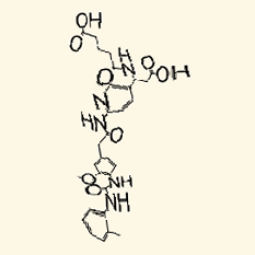 COc1cc(CC(=O)Nc2ccc(C(CC(=O)O)NC(=O)CCCC(=O)O)cn2)ccc1NC(=O)Nc1ccccc1C